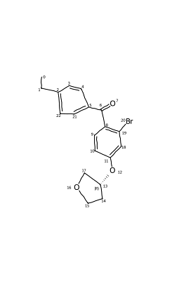 CCc1ccc(C(=O)c2ccc(O[C@@H]3CCOC3)cc2Br)cc1